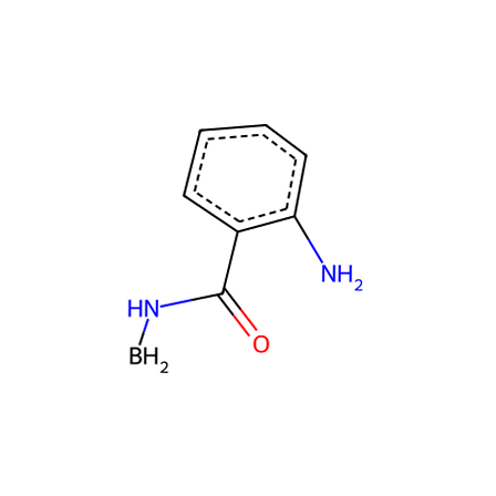 BNC(=O)c1ccccc1N